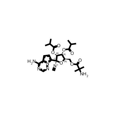 C#[N+][C@@]1(c2ccc3c(N)ncnn23)O[C@H](COC(=O)C(C)(C)N)[C@@H](OC(=O)C(C)C)[C@H]1OC(=O)C(C)C